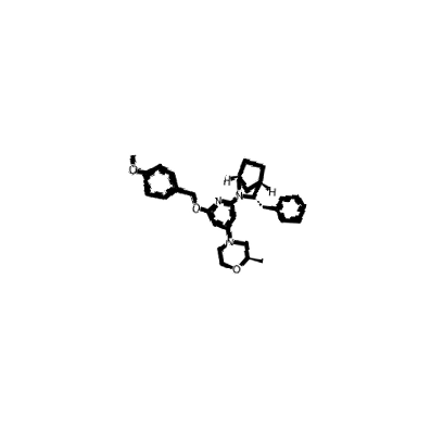 COc1ccc(COc2cc(N3CCO[C@H](C)C3)cc(N3[C@@H]4CC[C@@H](C4)[C@@H]3Cc3ccccc3)n2)cc1